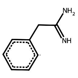 N=C(N)Cc1[c]cccc1